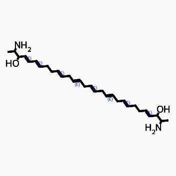 CC(N)C(O)/C=C/C=C/CC/C=C/C/C=C/C/C=C/C/C=C/C/C=C/CC/C=C/C(O)C(C)N